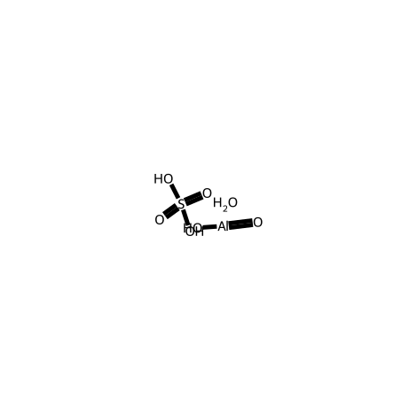 O.O=S(=O)(O)O.[O]=[Al][OH]